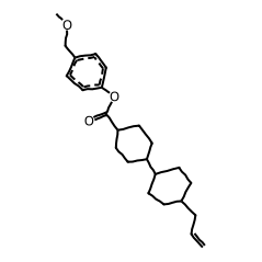 C=CCC1CCC(C2CCC(C(=O)Oc3ccc(COC)cc3)CC2)CC1